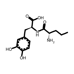 CCC[C@H](N)C(=O)N[C@@H](Cc1ccc(O)c(O)c1)C(=O)O